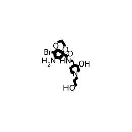 Nc1cc(C(=O)NC[C@@H]2CCN(CCCO)C[C@H]2O)c2c(c1Br)OCCCO2